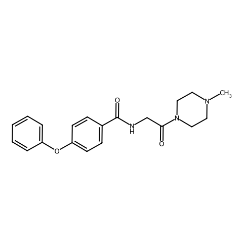 CN1CCN(C(=O)CNC(=O)c2ccc(Oc3ccccc3)cc2)CC1